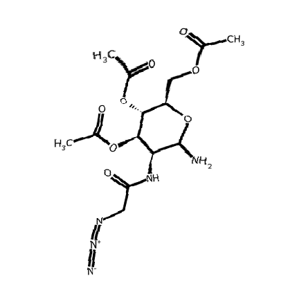 CC(=O)OC[C@H]1OC(N)[C@@H](NC(=O)CN=[N+]=[N-])[C@@H](OC(C)=O)[C@@H]1OC(C)=O